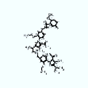 CCOc1cc(CNCC(C)c2nn(-c3ccc(CNC(=O)c4cc(F)ccc4OC)cc3OCC)c(C(N)=O)c2N)ccc1-n1nc(C(C)C)c(N)c1C(N)=O